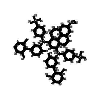 Cc1ccc(-c2c(C)cccc2C)cc1N(c1ccc([Si](C)(C)C)cc1)c1cc(N(c2ccc([Si](C)(C)C)cc2)c2cc(-c3c(C)cccc3C)ccc2C)c2ccc3cc(C(C)(C)C)cc4ccc1c2c43